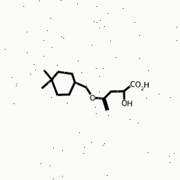 C=C(CC(O)C(=O)O)OCC1CCC(C)(C)CC1